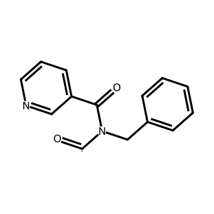 O=[C]N(Cc1ccccc1)C(=O)c1cccnc1